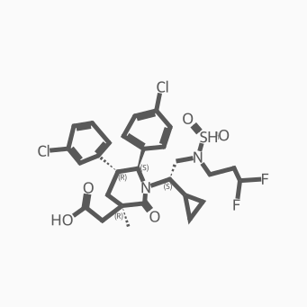 C[C@]1(CC(=O)O)C[C@H](c2cccc(Cl)c2)[C@@H](c2ccc(Cl)cc2)N([C@H](CN(CCC(F)F)[SH](=O)=O)C2CC2)C1=O